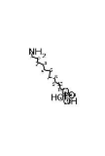 NCCCCCCCCCCCOP(=O)(O)O